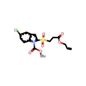 C=CCOC(=O)CCS(=O)(=O)c1cc2cc(Cl)ccc2n1C(=O)OC(C)(C)C